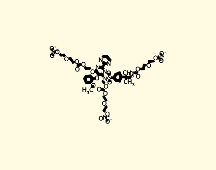 COc1ccccc1Oc1c(OCCOC(=O)OCCOCCO[N+](=O)[O-])nc(-c2ncccn2)nc1N(COC(=O)OCCOCCO[N+](=O)[O-])S(=O)(=O)c1ccc(C(C)(C)COC(=O)OCCOCCO[N+](=O)[O-])cc1